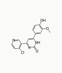 COc1cc(-c2cc(-c3cnccc3Cl)nc(=O)[nH]2)ccc1O